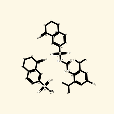 CC(C)c1cc(Cl)cc(C(C)C)c1NC(=O)NS(=O)(=O)c1ccc2c(c1)C(=O)CCC2.NS(=O)(=O)c1ccc2c(c1)C(=O)CCC2